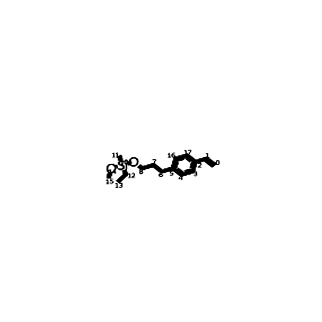 C=Cc1ccc(CCCO[Si](C)(CC)OC)cc1